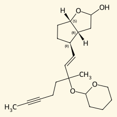 CC#CCCC(C)(C=C[C@H]1CC[C@@H]2OC(O)C[C@@H]21)OC1CCCCO1